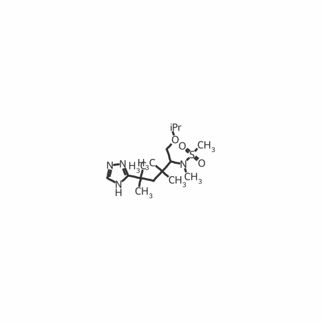 CC(C)OCC(N(C)S(C)(=O)=O)C(C)(C)CC(C)(C)c1nnc[nH]1